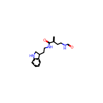 C=C(CCNC=O)C(=O)NCCC1CNc2ccccc21